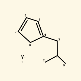 CC(C)CC1=CC=CC1.[Y]